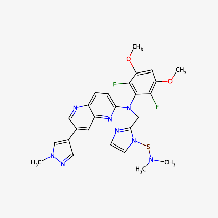 COc1cc(OC)c(F)c(N(Cc2nccn2SN(C)C)c2ccc3ncc(-c4cnn(C)c4)cc3n2)c1F